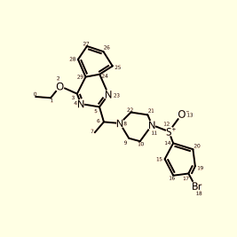 CCOc1nc(C(C)N2CCN([S+]([O-])c3ccc(Br)cc3)CC2)nc2ccccc12